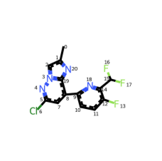 Cc1cn2nc(Cl)cc(-c3ccc(F)c(C(F)F)n3)c2n1